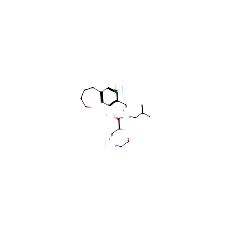 CC(C)CN(Cc1ccc2c(c1)OCCCC2)C(=O)C1CNCCO1.Cl